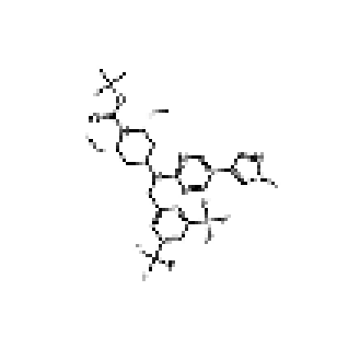 CC[C@@H]1CC(N(Cc2cc(C(F)(F)F)cc(C(F)(F)F)c2)c2ncc(-c3cnn(C)c3)cn2)C[C@H](CC)N1C(=O)OC(C)(C)C